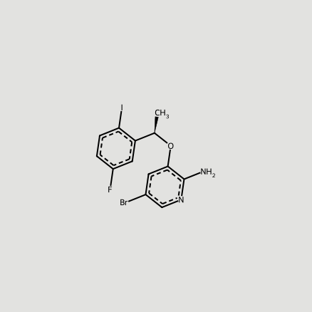 C[C@@H](Oc1cc(Br)cnc1N)c1cc(F)ccc1I